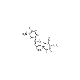 CN1C(=N)N[C@](C)(c2ccc(-c3ccc(F)c(N)c3)o2)CC1=O